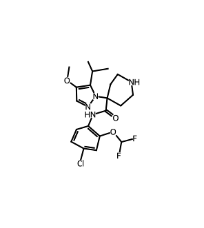 COc1cnn(C2(C(=O)Nc3ccc(Cl)cc3OC(F)F)CCNCC2)c1C(C)C